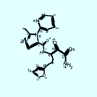 Cc1ncc(C(=O)NC(Cc2ccno2)C(=O)C(N)=O)n1-c1ccccn1